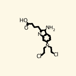 NC1C(CCCC(=O)O)=Nc2cc(N(CCCl)CCCl)ccc21